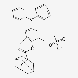 CS(=O)(=O)[O-].Cc1cc([S+](c2ccccc2)c2ccccc2)cc(C)c1OC(=O)C12CC3CC(CC(C3)C1)C2